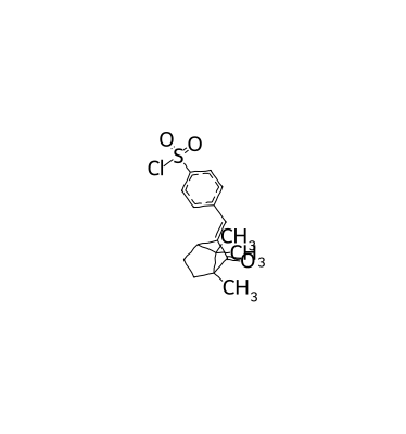 CC12CCC(C(=Cc3ccc(S(=O)(=O)Cl)cc3)C1=O)C2(C)C